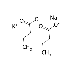 CCCC(=O)[O-].CCCC(=O)[O-].[K+].[Na+]